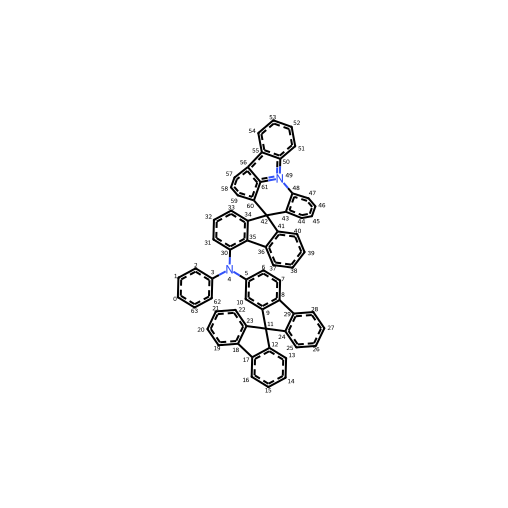 c1ccc(N(c2ccc3c(c2)C2(c4ccccc4-c4ccccc42)c2ccccc2-3)c2cccc3c2-c2ccccc2C32c3ccccc3-n3c4ccccc4c4cccc2c43)cc1